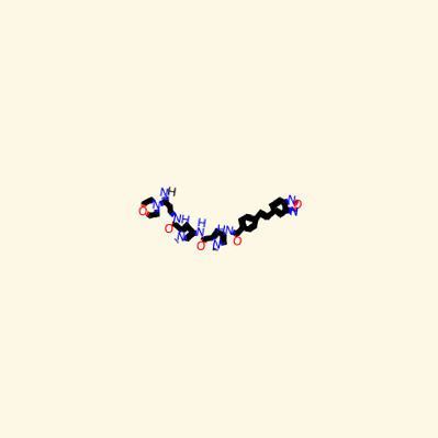 [H]/N=C(\CCNC(=O)c1cc(NC(=O)c2cc(NC(=O)c3ccc(C=Cc4ccc5nonc5c4)cc3)cn2C)cn1C)N1CCOCC1